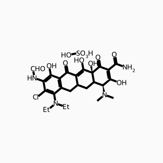 CCN(CC)c1c(Cl)c(NC=O)c(O)c2c1CC1CC3[C@H](N(C)C)C(O)=C(C(N)=O)C(=O)[C@@]3(O)C(O)=C1C2=O.O=S(=O)(O)O